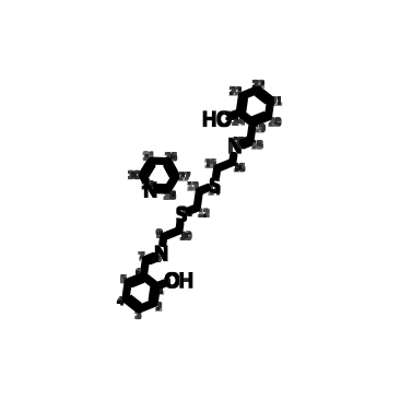 Oc1ccccc1/C=N/CCSCCSCC/N=C/c1ccccc1O.c1ccncc1